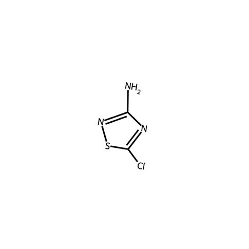 Nc1nsc(Cl)n1